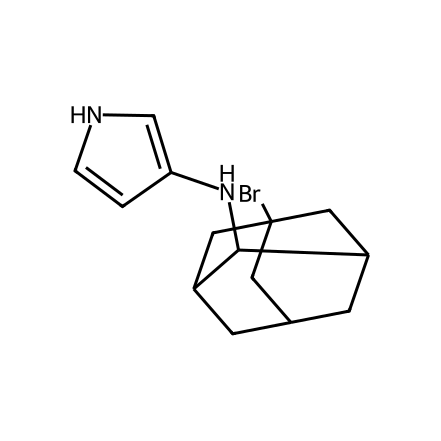 BrC12CC3CC(C1)C(Nc1cc[nH]c1)C(C3)C2